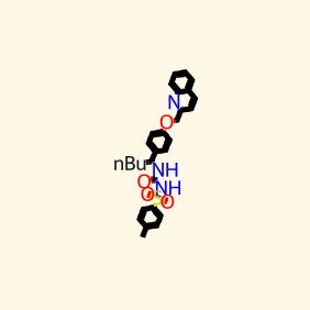 CCCCC(NC(=O)NS(=O)(=O)c1ccc(C)cc1)c1ccc(OCc2ccc3ccccc3n2)cc1